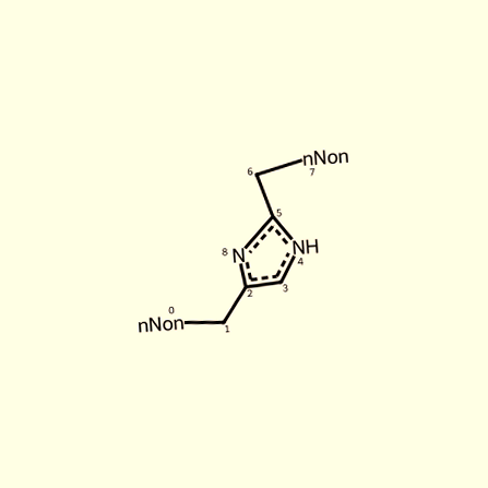 CCCCCCCCCCc1c[nH]c(CCCCCCCCCC)n1